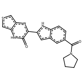 O=C(c1ccc2[nH]c(-c3nc4cscc4[nH]c3=O)cc2c1)N1CCCC1